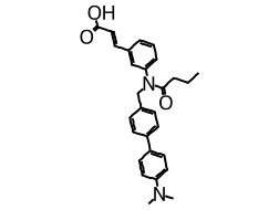 CCCC(=O)N(Cc1ccc(-c2ccc(N(C)C)cc2)cc1)c1cccc(C=CC(=O)O)c1